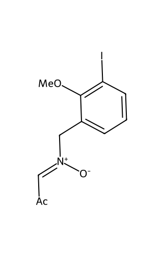 COc1c(I)cccc1C/[N+]([O-])=C/C(C)=O